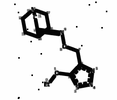 CCOc1snnc1CON=C1CN2CCC1CC2